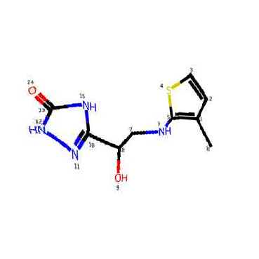 Cc1ccsc1NCC(O)c1n[nH]c(=O)[nH]1